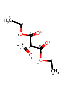 C=O.CCOC(=O)CC(=O)OCC